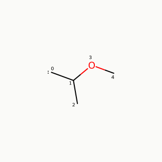 [CH]C(C)OC